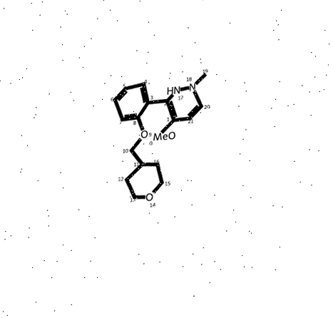 COC1=C(c2ccccc2OCC2CCOCC2)NN(C)C=C1